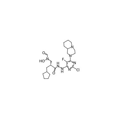 O=CN(O)C[C@H](CC1CCCC1)C(=O)NNc1nc(Cl)nc(N2CCN3CCCCC3C2)c1F